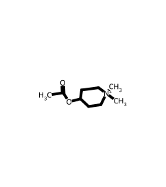 CC(=O)OC1CC[N+](C)(C)CC1